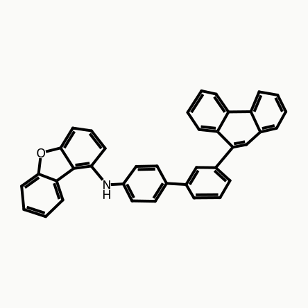 c1cc(-c2ccc(Nc3cccc4oc5ccccc5c34)cc2)cc(-c2cc3ccccc3c3ccccc23)c1